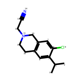 CC(C)c1cc2c(cc1Cl)CN(CC#N)CC2